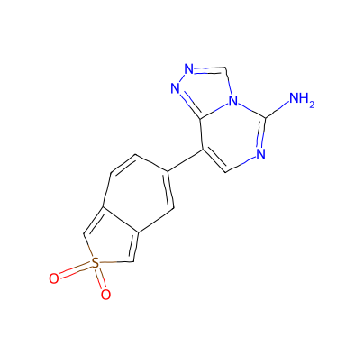 Nc1ncc(-c2ccc3c(c2)=CS(=O)(=O)C=3)c2nncn12